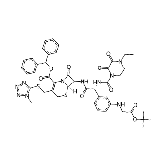 CCN1CCN(C(=O)N[C@@H](C(=O)N[C@@H]2C(=O)N3C(C(=O)OC(c4ccccc4)c4ccccc4)=C(CSc4nnnn4C)CS[C@H]23)c2cccc(NCC(=O)OC(C)(C)C)c2)C(=O)C1=O